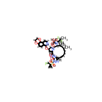 C[C@@H]1CCC=C[C@@H]2C[C@@]2(C(=O)NS(=O)(=O)C2(CF)CC2)NC(=O)[C@@H]2C[C@@H](Oc3nccc4c5c(ccc34)OCCO5)CN2C(=O)[C@@H](N(C(=O)O)C(C)(C)C(C)(F)F)[C@H](C)C1